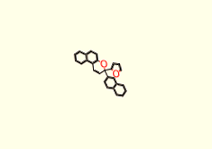 C1=CC(c2ccc3ccccc3c2)(c2ccco2)Oc2ccc3ccccc3c21